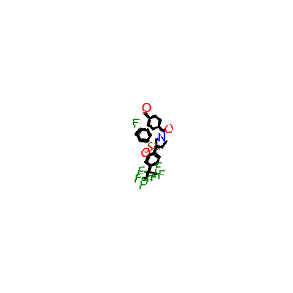 O=CC1CCC(C(=O)N2CC[C@](c3ccc(C(F)(C(F)(F)F)C(F)(F)F)cc3)([S+]([O-])c3ccc(F)cc3)C2)CC1